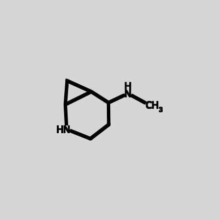 CNC1CCNC2CC12